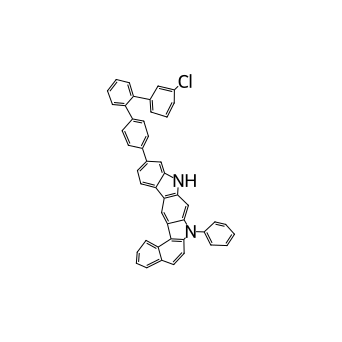 Clc1cccc(-c2ccccc2-c2ccc(-c3ccc4c(c3)[nH]c3cc5c(cc34)c3c4ccccc4ccc3n5-c3ccccc3)cc2)c1